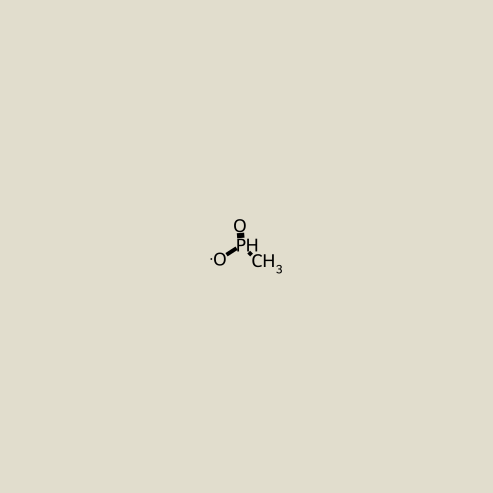 C[PH]([O])=O